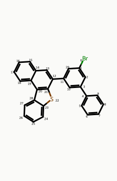 Brc1cc(-c2ccccc2)cc(-c2cc3ccccc3c3c2sc2ccccc23)c1